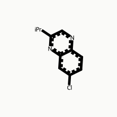 CC(C)c1cnc2ccc(Cl)cc2n1